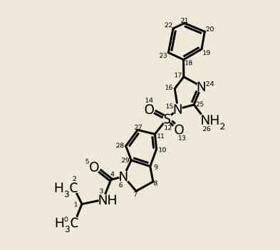 CC(C)NC(=O)N1CCc2cc(S(=O)(=O)N3CC(c4ccccc4)N=C3N)ccc21